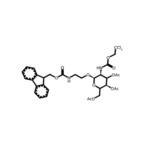 CC(=O)OCC1O[C@@H](OCCNC(=O)OCC2c3ccccc3-c3ccccc32)[C@@H](NC(=O)OCC(Cl)(Cl)Cl)C(OC(C)=O)[C@H]1OC(C)=O